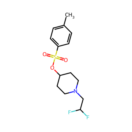 Cc1ccc(S(=O)(=O)OC2CCN(CC(F)F)CC2)cc1